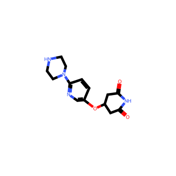 O=C1CC(Oc2ccc(N3CCNCC3)nc2)CC(=O)N1